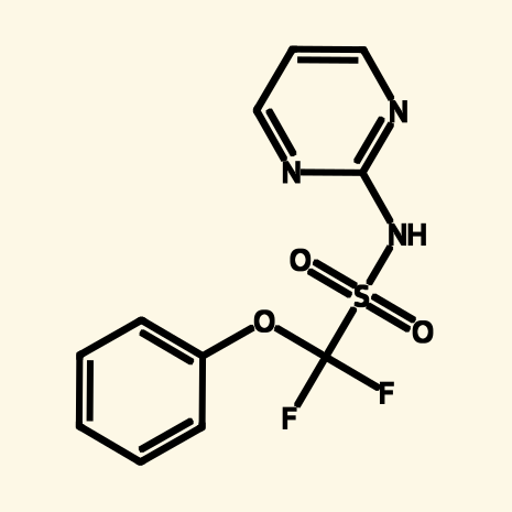 O=S(=O)(Nc1ncccn1)C(F)(F)Oc1ccccc1